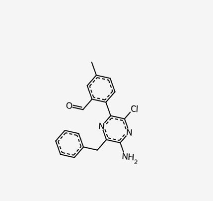 Cc1ccc(-c2nc(Cc3ccccc3)c(N)nc2Cl)c(C=O)c1